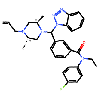 C=CCN1C[C@@H](C)N(C(c2cccc(C(=O)N(CC)c3ccc(F)cc3)c2)n2nnc3ccccc32)C[C@@H]1C